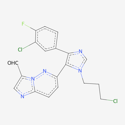 O=Cc1cnc2ccc(-c3c(-c4ccc(F)c(Cl)c4)ncn3CCCCl)nn12